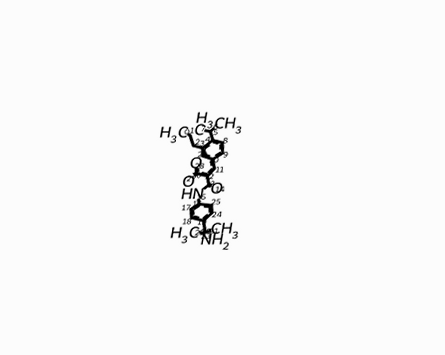 CCCc1c(C(C)C)ccc2cc(C(=O)Nc3ccc(C(C)(C)N)cc3)c(=O)oc12